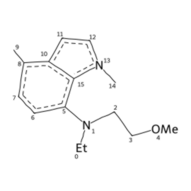 CCN(CCOC)c1ccc(C)c2ccn(C)c12